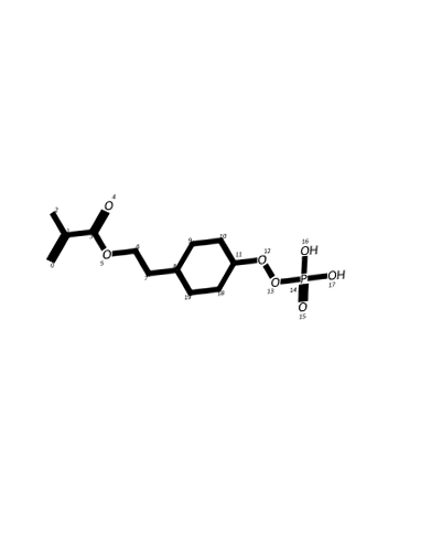 C=C(C)C(=O)OCCC1CCC(OOP(=O)(O)O)CC1